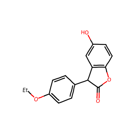 CCOc1ccc(C2C(=O)Oc3ccc(O)cc32)cc1